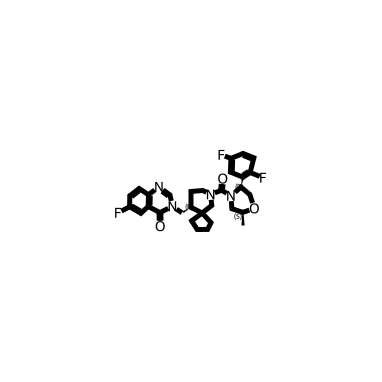 C[C@H]1CN(C(=O)N2CC[C@@H](Cn3cnc4ccc(F)cc4c3=O)C3(CCCC3)C2)[C@H](c2cc(F)ccc2F)CO1